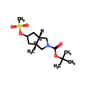 CC(C)(C)OC(=O)N1C[C@H]2CC(OS(C)(=O)=O)C[C@@]2(C)C1